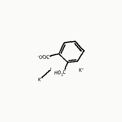 O=C([O-])c1ccccc1C(=O)O.[K+].[K][I]